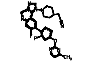 Cc1ccnc(Oc2ccc(-c3cc4c(cc3F)ncc3ncn(N5CCC(CC#N)CC5)c34)c(F)c2)n1